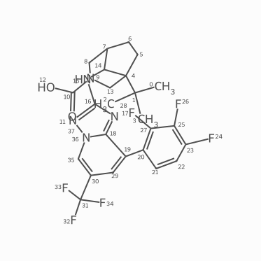 CC(C)(C)C12CCC(CN(C(=O)O)C1)C2Nc1nc2c(-c3ccc(F)c(F)c3F)cc(C(F)(F)F)cn2n1